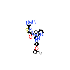 CCO[C@H]1C[C@@H](n2cc(NC(=O)c3csc(-c4cn[nH]c4)n3)c(-c3ncccc3C)n2)C1